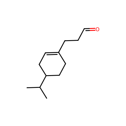 CC(C)C1CC=C(CCC=O)CC1